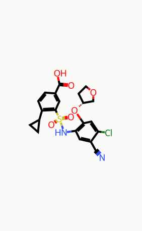 N#Cc1cc(NS(=O)(=O)c2cc(C(=O)O)ccc2C2CC2)c(O[C@@H]2CCOC2)cc1Cl